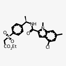 CCOC(=O)CS(=O)(=O)c1ccc([C@@H](C)NC(=O)c2cc3c(Cl)cc(C)cc3n2C)cc1